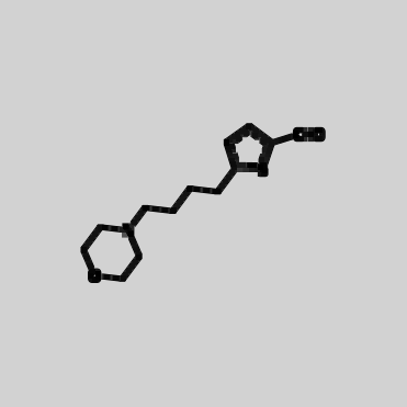 O=Cc1ccc(CCCCN2CCOCC2)s1